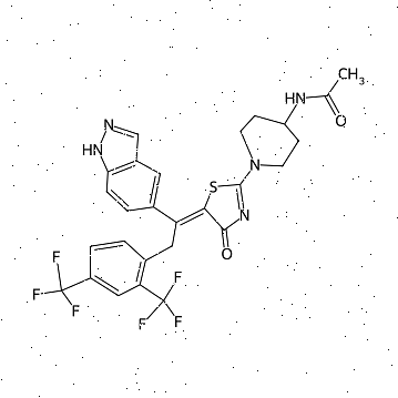 CC(=O)NC1CCN(C2=NC(=O)C(=C(Cc3ccc(C(F)(F)F)cc3C(F)(F)F)c3ccc4[nH]ncc4c3)S2)CC1